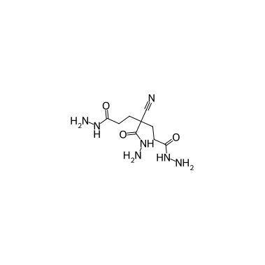 N#CC(CCC(=O)NN)(CCC(=O)NN)C(=O)NN